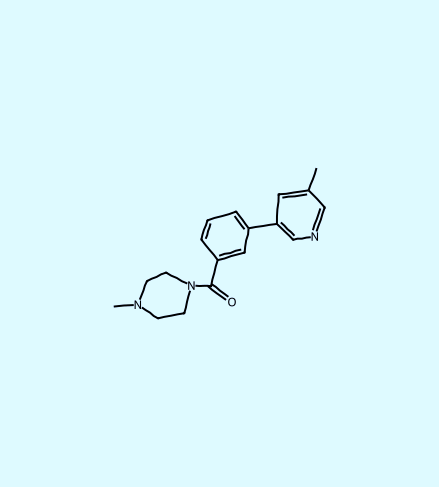 Cc1cncc(-c2cccc(C(=O)N3CCN(C)CC3)c2)c1